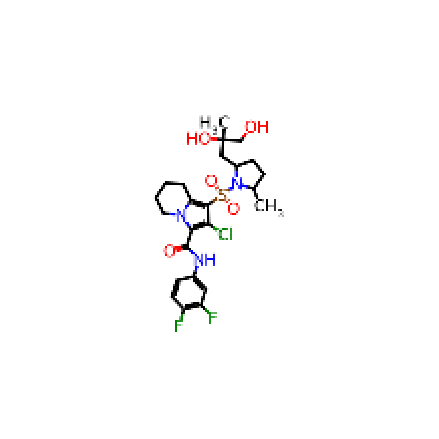 CC1CCC(CC(C)(O)CO)N1S(=O)(=O)c1c(Cl)c(C(=O)Nc2ccc(F)c(F)c2)n2c1CCCC2